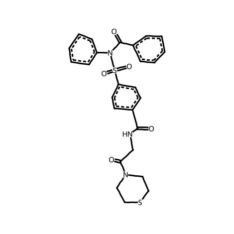 O=C(NCC(=O)N1CCSCC1)c1ccc(S(=O)(=O)N(C(=O)c2ccccc2)c2ccccc2)cc1